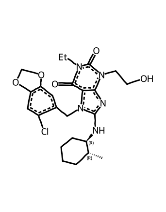 CCn1c(=O)c2c(nc(N[C@@H]3CCCC[C@H]3C)n2Cc2cc3c(cc2Cl)OCO3)n(CCO)c1=O